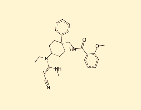 CCN(/C(=N/C#N)NC)C1CCC(CNC(=O)c2ccccc2OC)(c2ccccc2)CC1